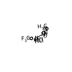 Cc1cccc(-c2ccn(CCCCN3C[C@@H]4C[C@]4(c4ccc(C(F)(F)F)cc4)C3)c(=O)n2)n1.Cl.Cl